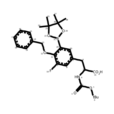 CC(C)(C)OC(=O)NC(Cc1cc(F)c(OCc2ccccc2)c(B2OC(C)(C)C(C)(C)O2)c1)C(=O)O